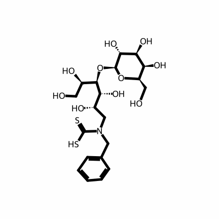 OC[C@@H](O)[C@@H](O[C@@H]1O[C@H](CO)[C@H](O)[C@H](O)[C@H]1O)[C@H](O)[C@@H](O)CN(Cc1ccccc1)C(=S)S